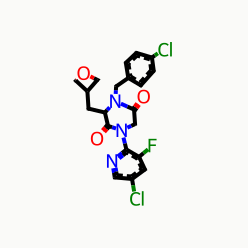 O=C1C(CC2COC2)N(Cc2ccc(Cl)cc2)C(=O)CN1c1ncc(Cl)cc1F